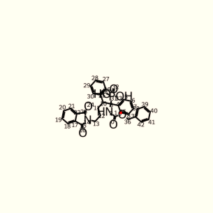 O=C(NC(c1ccccc1)(C(CCCN1C(=O)c2ccccc2C1=O)c1ccccc1)P(=O)(O)O)OCc1ccccc1